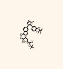 Cn1ncc(-c2ccc3c(c2)CN(C(CCC(=O)OC(C)(C)C)C(N)=O)C3=O)c1-c1ccc2c(c1)OC(F)(F)O2